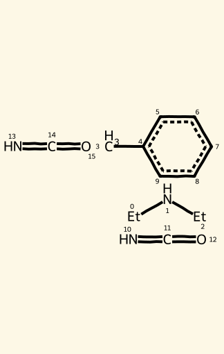 CCNCC.Cc1ccccc1.N=C=O.N=C=O